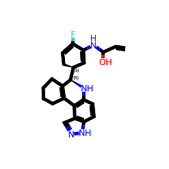 C=CC(O)NC1=C[C@@H]([C@H]2Nc3ccc4[nH]ncc4c3C3=C2CCCC3)CC=C1F